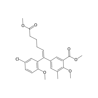 COC(=O)CCCC=C(c1cc(C)c(OC)c(C(=O)OC)c1)c1cc(Cl)ccc1OC